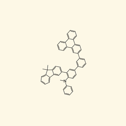 CN(c1ccccc1)c1ccc(-c2cccc(-c3ccc4c5ccccc5c5ccccc5c4c3)c2)cc1-c1ccc2c(c1)-c1ccccc1C2(C)C